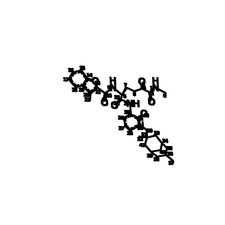 CNC(=O)C(=O)CC[C@H](NC(=O)c1oc2ccccc2c1C)C(=O)Nc1cccn(CC2(C)CC3CC(C)CC(C3)C2)c1=O